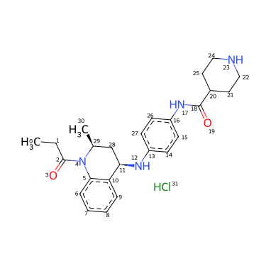 CCC(=O)N1c2ccccc2[C@H](Nc2ccc(NC(=O)C3CCNCC3)cc2)C[C@@H]1C.Cl